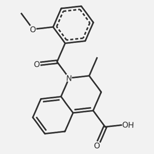 COc1ccccc1C(=O)N1C2=CC=CCC2=C(C(=O)O)CC1C